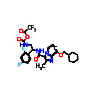 Cc1nc2c(OCC3CCCCC3)cccn2c1C(=O)NC(CNC(=O)OC(=O)C(F)(F)F)c1ccc(F)cc1F